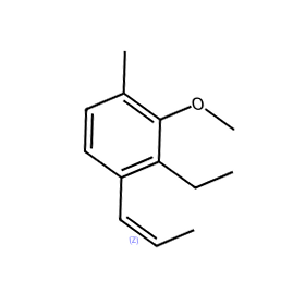 C/C=C\c1ccc(C)c(OC)c1CC